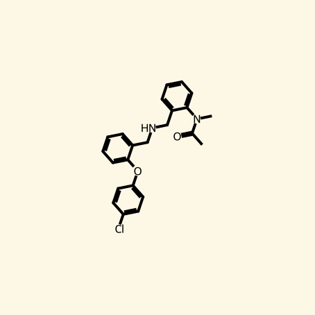 CC(=O)N(C)c1ccccc1CNCc1ccccc1Oc1ccc(Cl)cc1